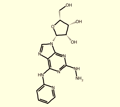 NNc1nc(Nc2ccccn2)c2ncn([C@@H]3O[C@H](CO)[C@H](O)[C@@H]3O)c2n1